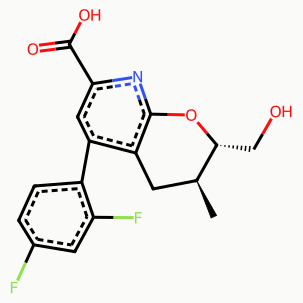 C[C@H]1Cc2c(-c3ccc(F)cc3F)cc(C(=O)O)nc2O[C@@H]1CO